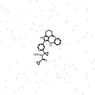 O=CN(C(=O)C1CC1)C1(c2cc(-c3[nH]c4c(c3Nc3ccccc3)C(=O)CCC4)ccn2)CC1